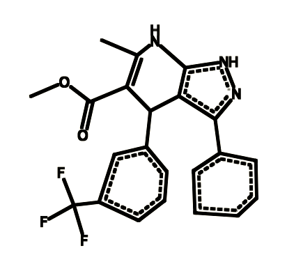 COC(=O)C1=C(C)Nc2[nH]nc(-c3ccccc3)c2C1c1cccc(C(F)(F)F)c1